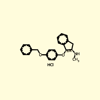 CN[C@@H]1Cc2ccccc2[C@@H]1Oc1ccc(OCc2ccccc2)cc1.Cl